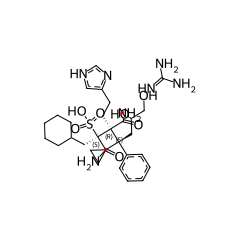 N=C(N)N.NC(=O)[C@@](CCc1c[nH]cn1)([C@](CC(O)CO)(c1ccccc1)C1CC1)[C@@](CC1CCCCC1)(C(N)=O)S(=O)(=O)O